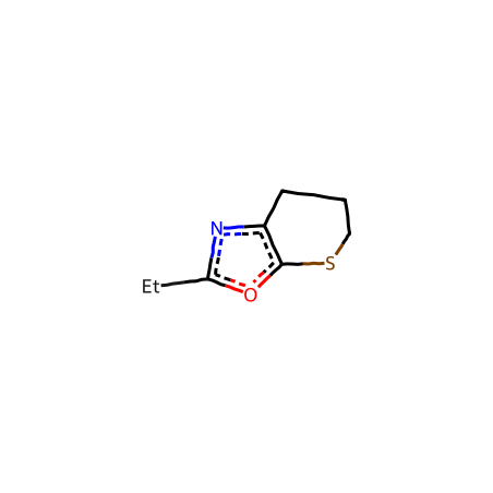 CCc1nc2c(o1)SCCC2